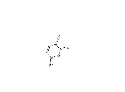 CC1OC(O)C=CC1=O